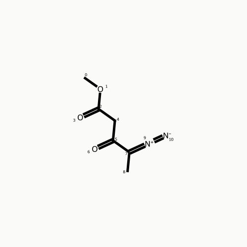 COC(=O)CC(=O)C(C)=[N+]=[N-]